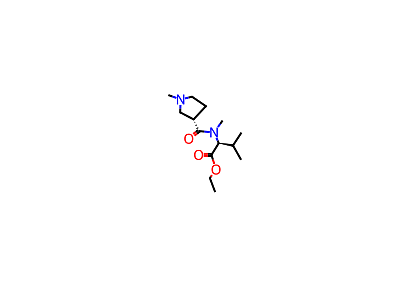 CCOC(=O)[C@H](C(C)C)N(C)C(=O)[C@H]1CCN(C)C1